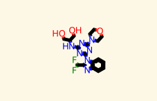 OCC(CO)Nc1nc(N2CCOCC2)nc(-n2c(C(F)F)nc3ccccc32)n1